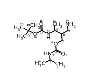 CC(C)NC(=O)OCC(CN)C(C)NC(=O)OC(C)(C)C